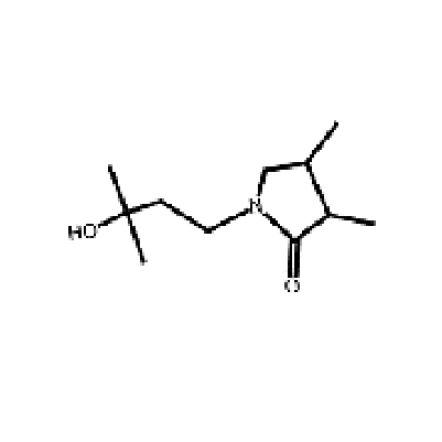 CC1CN(CCC(C)(C)O)C(=O)C1C